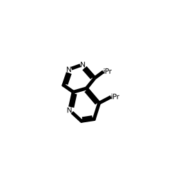 CC(C)c1ccnc2cnnc(C(C)C)c12